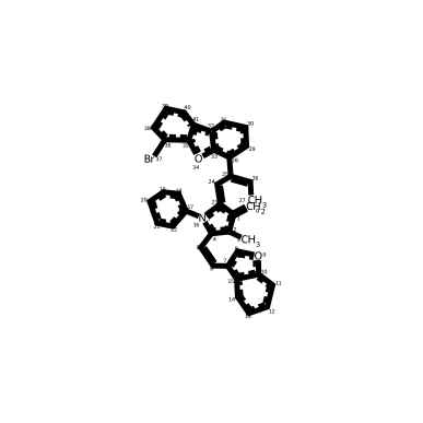 C=c1c(C)c(/C=C\c2coc3ccccc23)n(-c2ccccc2)/c1=C/C(=C\C)c1cccc2c1oc1c(Br)cccc12